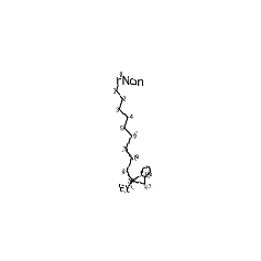 CCCCCCCCCCCCCCCCCCC1(CC)CO1